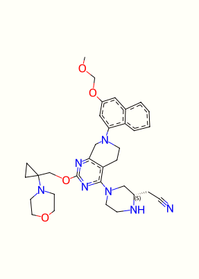 COCOc1cc(N2CCc3c(nc(OCC4(N5CCOCC5)CC4)nc3N3CCN[C@@H](CC#N)C3)C2)c2ccccc2c1